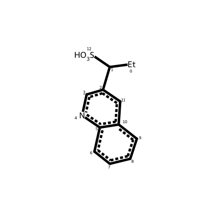 CCC(c1[c]nc2ccccc2c1)S(=O)(=O)O